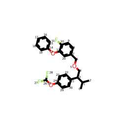 CC(C)C(COCc1ccc(F)c(Oc2ccccc2)c1)c1ccc(OC(F)F)cc1